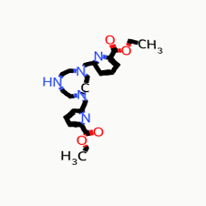 CCOC(=O)c1cccc(CN2CCNCCN(Cc3cccc(C(=O)OCC)n3)CC2)n1